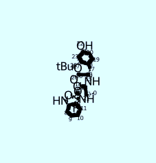 C[C@H](N[SH]1(=O)ONc2ccccc21)C(=O)N[C@@H](Cc1ccc(O)cc1)C(=O)OC(C)(C)C